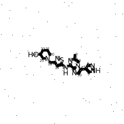 Cc1cn2c(-c3cn[nH]c3)cnc2c(Nc2cc(CN3CCCC(O)C3)ns2)n1